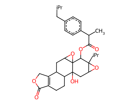 CC(C)Cc1ccc(C(C)C(=O)OC2C3(C(C)C)OC3CC3(O)C4CCC5=C(COC5=O)C4CC4OC423)cc1